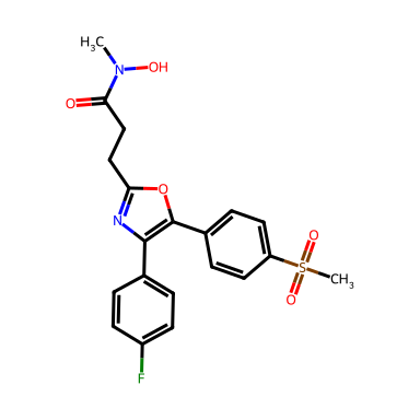 CN(O)C(=O)CCc1nc(-c2ccc(F)cc2)c(-c2ccc(S(C)(=O)=O)cc2)o1